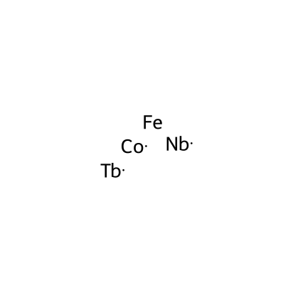 [Co].[Fe].[Nb].[Tb]